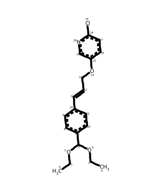 CCOC(OCC)c1ccc(C=CCOc2ccc(Cl)nc2)cc1